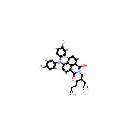 CCCCC(CC)CN1C(=O)c2cccc3c(N(c4ccc(Br)cc4)c4ccc(Br)cc4)ccc(c23)C1=O